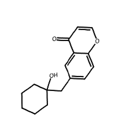 O=c1ccoc2ccc(CC3(O)CCCCC3)cc12